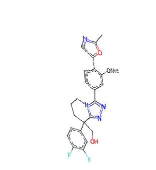 COc1cc(-c2nnc3n2CCCC3(CO)c2ccc(F)c(F)c2)ccc1-c1cnc(C)o1